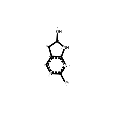 CC(C)c1ncc2c(n1)NC(O)C2